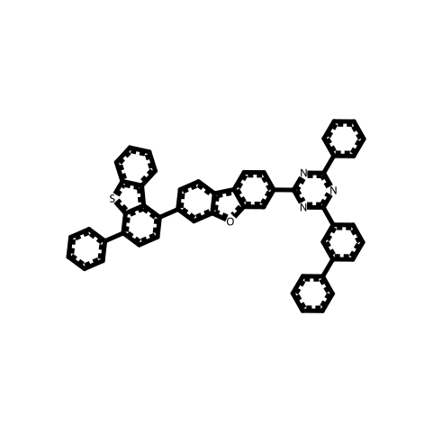 c1ccc(-c2cccc(-c3nc(-c4ccccc4)nc(-c4ccc5c(c4)oc4cc(-c6ccc(-c7ccccc7)c7sc8ccccc8c67)ccc45)n3)c2)cc1